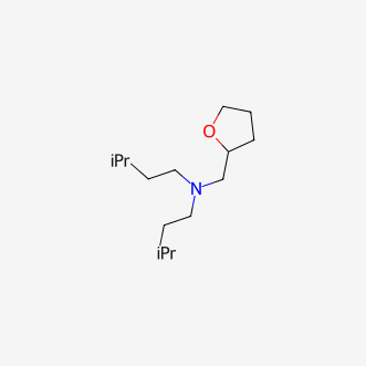 CC(C)CCN(CCC(C)C)CC1CCCO1